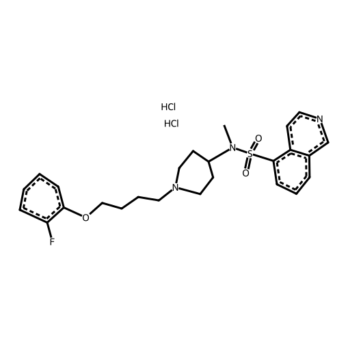 CN(C1CCN(CCCCOc2ccccc2F)CC1)S(=O)(=O)c1cccc2cnccc12.Cl.Cl